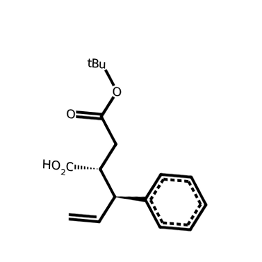 C=C[C@H](c1ccccc1)[C@@H](CC(=O)OC(C)(C)C)C(=O)O